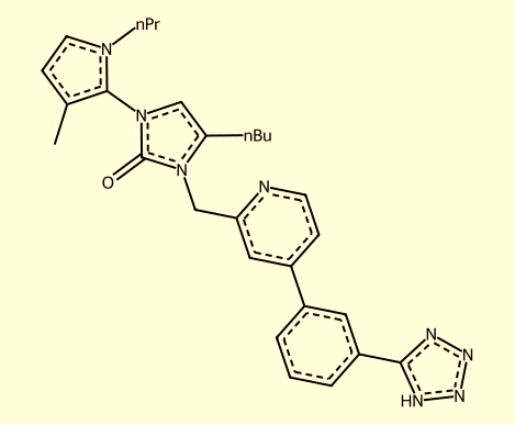 CCCCc1cn(-c2c(C)ccn2CCC)c(=O)n1Cc1cc(-c2cccc(-c3nnn[nH]3)c2)ccn1